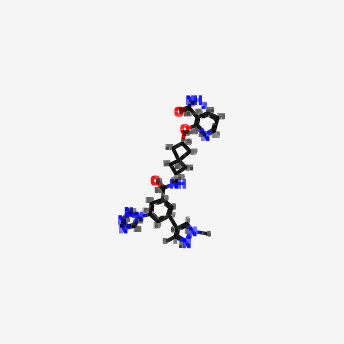 Cc1nn(C)cc1-c1cc(C(=O)N[C@H]2CC3(C2)C[C@H](Oc2ncccc2C(N)=O)C3)cc(-n2cnnn2)c1